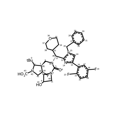 CC(C)(C)C1[C@@H](CN(C(=O)N2CC(O)C2)[C@@H](c2nc(-c3cc(F)ccc3F)cn2Cc2ccccc2)C2CCOCC2)[C@@H](F)CN1C(=O)O